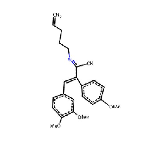 C=CCCCN=C(C#N)C(=Cc1ccc(OC)c(OC)c1)c1ccc(OC)cc1